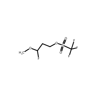 COC(F)CCOS(=O)(=O)C(F)(F)F